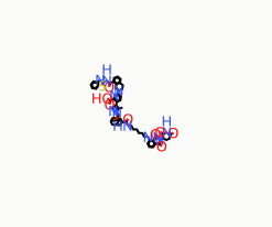 Cc1c(-c2ccc(N3CCc4cccc(C(=O)Nc5nc6ccccc6s5)c4C3)nc2C(=O)O)cnn1CC12CC3CC(C1)CC(C(=O)NCCCCCCNc1cccc4c1C(=O)N(C1CCC(=O)NC1=O)C4=O)(C3)C2